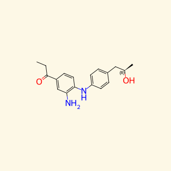 CCC(=O)c1ccc(Nc2ccc(C[C@@H](C)O)cc2)c(N)c1